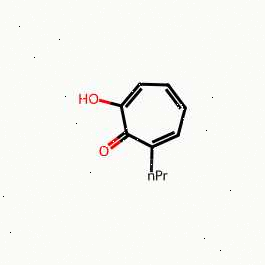 CCCc1ccccc(O)c1=O